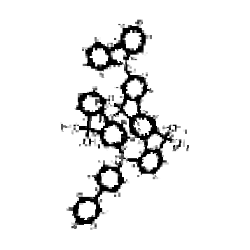 CC1(C)c2ccccc2-c2ccc(N(c3ccc(-c4ccccc4)cc3)c3cccc4c3-c3cc5c(cc3C4(C)C)-c3ccc(-n4c6ccccc6c6ccccc64)cc3C5(C)C)cc21